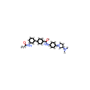 CC(C)C(=O)Nc1cccc(-c2ccc(C(=O)Nc3ccc(N4CCC(N(C)C)C4)cc3)cc2)c1